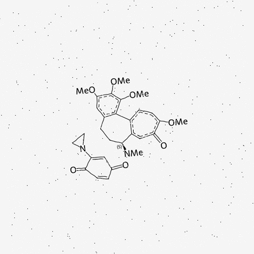 CN[C@H]1CCc2cc(OC)c(OC)c(OC)c2-c2ccc(OC)c(=O)cc21.O=C1C=CC(=O)C(N2CC2)=C1